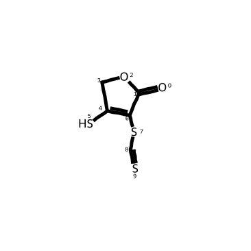 O=C1OCC(S)=C1SC=S